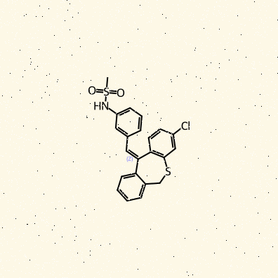 CS(=O)(=O)Nc1cccc(/C=C2/c3ccccc3CSc3cc(Cl)ccc32)c1